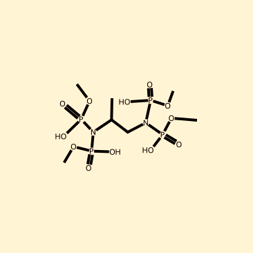 COP(=O)(O)N(CC(C)N(P(=O)(O)OC)P(=O)(O)OC)P(=O)(O)OC